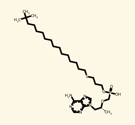 C[C@H](Cn1cnc2c(N)ncnc21)OCP(=O)(O)OCCCSCCCCCCCCCCCCCCC(C)(C)C